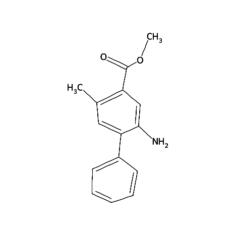 COC(=O)c1cc(N)c(-c2ccccc2)cc1C